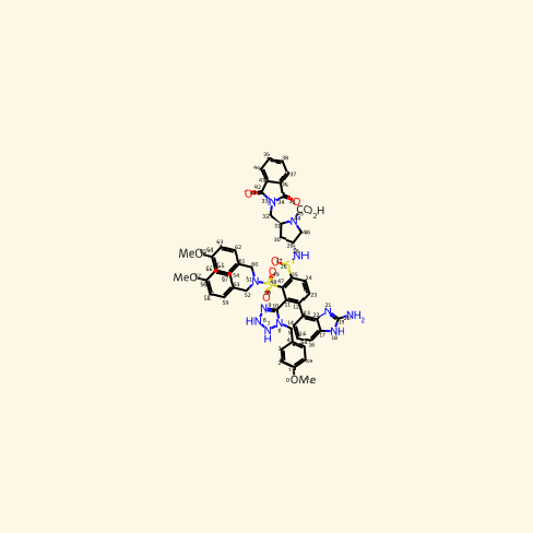 COc1ccc(CN2NNN=C2c2c(-c3cccc4[nH]c(N)nc34)ccc([S+]([O-])N[C@@H]3C[C@@H](CN4C(=O)c5ccccc5C4=O)N(C(=O)O)C3)c2S(=O)(=O)N(Cc2ccc(OC)cc2)Cc2ccc(OC)cc2)cc1